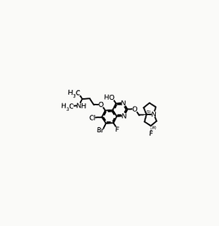 CNC(C)CCOc1c(Cl)c(Br)c(F)c2nc(OC[C@@]34CCCN3C[C@H](F)C4)nc(O)c12